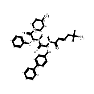 CN(C(=O)C=CCC(C)(C)N)[C@H](Cc1ccc(-c2ccccc2)cc1)C(=O)N(C)[C@H](Cc1ccccc1)C(=O)N1CCC(O)CC1